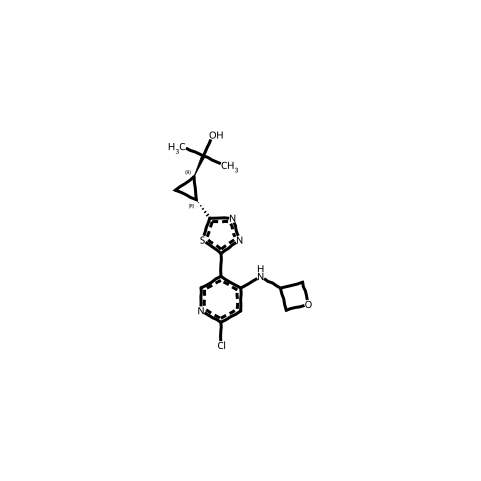 CC(C)(O)[C@@H]1C[C@H]1c1nnc(-c2cnc(Cl)cc2NC2COC2)s1